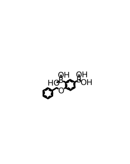 OB(O)c1ccc(OCc2ccccc2)c(B(O)O)c1